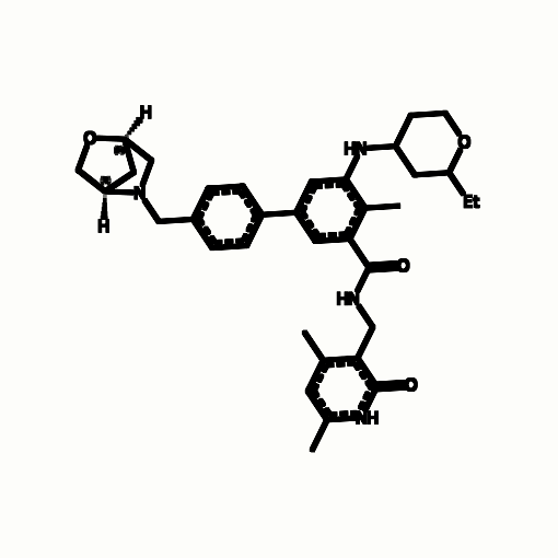 CCC1CC(Nc2cc(-c3ccc(CN4C[C@H]5C[C@@H]4CO5)cc3)cc(C(=O)NCc3c(C)cc(C)[nH]c3=O)c2C)CCO1